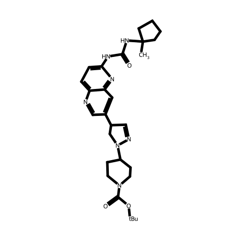 CC1(NC(=O)Nc2ccc3ncc(C4C=NN(C5CCN(C(=O)OC(C)(C)C)CC5)C4)cc3n2)CCCC1